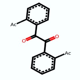 CC(=O)c1ccccc1C(=O)C(=O)c1ccccc1C(C)=O